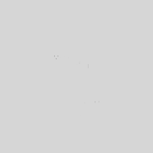 C=C(C)C(=O)OCO[Si](CC)(OC)c1ccccc1